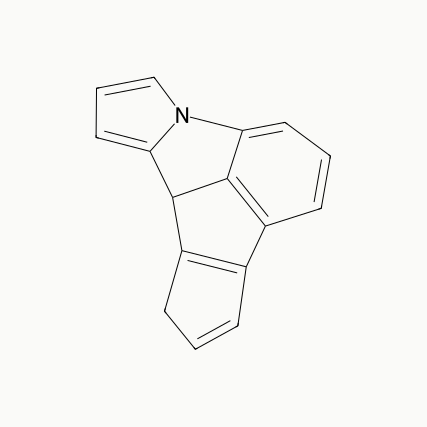 C1=CC2=C(C1)C1c3c2cccc3-n2cccc21